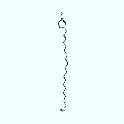 CCOCCCCCCCCCCCCCCC=CCN1C=[N+]([O-])CC1